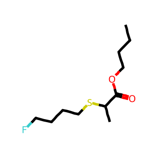 CCCCOC(=O)C(C)SCCCCF